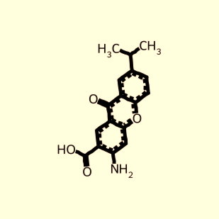 CC(C)c1ccc2oc3cc(N)c(C(=O)O)cc3c(=O)c2c1